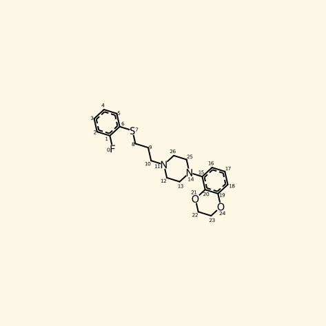 Fc1ccccc1SCCCN1CCN(c2cccc3c2OCCO3)CC1